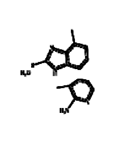 Cc1cccc2[nH]c([S])nc12.Cc1cccnc1N.O